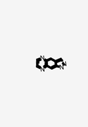 C1=C2Cc3nccnc3C=C2N=N1